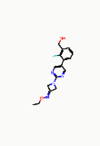 CCON=C1CN(c2ncc(-c3cccc(CO)c3F)cn2)C1